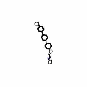 Cl/C=C/CO[C@H]1CC[C@H](C2CCC(c3ccc(Cl)cc3)CC2)CC1